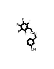 N#Cc1cccc(/[C]=N\OCc2c(F)c(F)c(F)c(F)c2F)c1